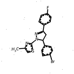 Cc1csc(N2N=C(c3ccc(F)cc3)CC2c2ccc(Br)cc2)n1